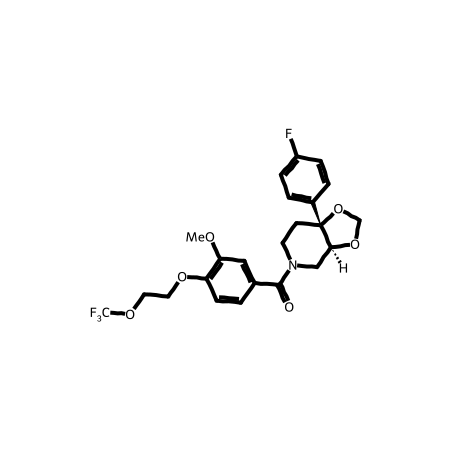 COc1cc(C(=O)N2CC[C@]3(c4ccc(F)cc4)OCO[C@H]3C2)ccc1OCCOC(F)(F)F